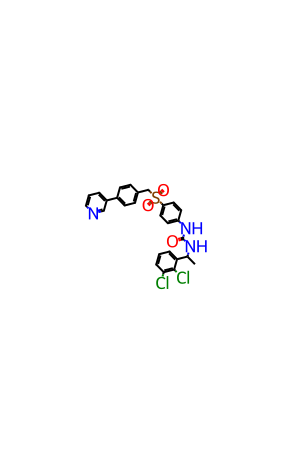 CC(NC(=O)Nc1ccc(S(=O)(=O)Cc2ccc(-c3cccnc3)cc2)cc1)c1cccc(Cl)c1Cl